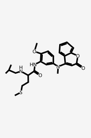 COc1ccc(N(C)c2cc(=O)oc3ccccc23)cc1NC(=O)C(CCSC)NCC(C)C